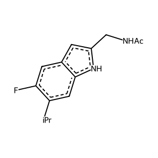 CC(=O)NCc1cc2cc(F)c(C(C)C)cc2[nH]1